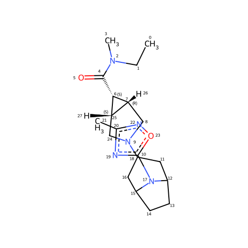 CCN(C)C(=O)[C@@H]1[C@@H]2CN(C3CC4CCC(C3)N4c3nc(C)no3)C[C@@H]21